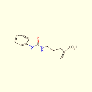 C=C(CCCNC(=O)N(C)c1ccccc1)C(=O)O